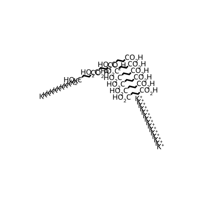 O=C(O)CCC(=O)O.O=C(O)CCC(=O)O.O=C(O)CCC(=O)O.O=C(O)CCC(=O)O.O=C(O)CCC(=O)O.O=C(O)CCC(=O)O.O=C(O)CCC(=O)O.O=C(O)CCC(=O)O.[K+].[K+].[K+].[K+].[K+].[K+].[K+].[K+].[K+].[K+].[K+].[K+].[K+].[K+].[K+].[K+].[K+].[K+].[K+].[K+].[K+].[K+].[K+].[K+].[K+].[K+]